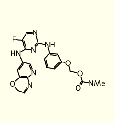 CNC(=O)OCOc1cccc(Nc2ncc(F)c(Nc3cnc4c(c3)OCC=N4)n2)c1